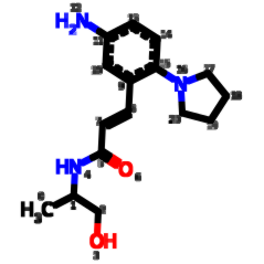 CC(CO)NC(=O)C=Cc1cc(N)ccc1N1CCCC1